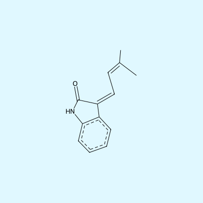 CC(C)=CC=C1C(=O)Nc2ccccc21